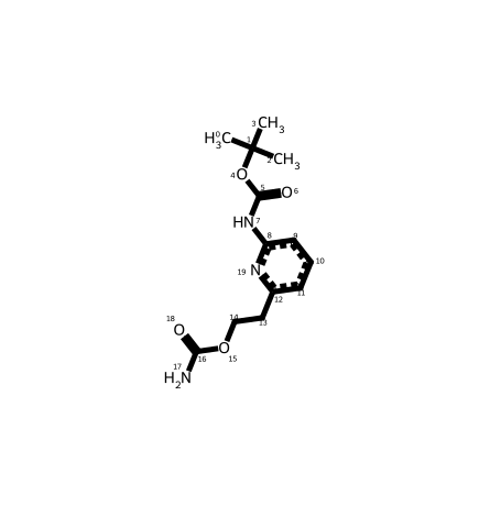 CC(C)(C)OC(=O)Nc1cccc(CCOC(N)=O)n1